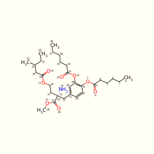 CCCCCC(=O)Oc1ccc(C[C@](N)(CCOC(=O)CC(C)CC)C(=O)OC)cc1OC(=O)CCCCC